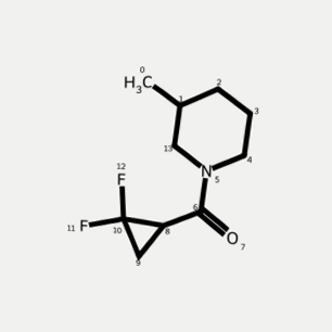 CC1CCCN(C(=O)C2CC2(F)F)C1